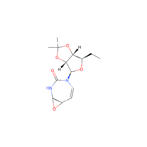 CC[C@H]1O[C@@H](N2C=CC3OC3NC2=O)[C@@H]2OC(C)(C)O[C@@H]21